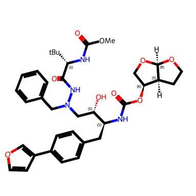 COC(=O)N[C@H](C(=O)NN(Cc1ccccc1)C[C@H](O)[C@H](Cc1ccc(-c2ccoc2)cc1)NC(=O)O[C@H]1CO[C@H]2OCC[C@H]21)C(C)(C)C